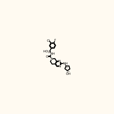 O=C(N[C@H](O)c1ccc(F)c(Cl)c1)N1CCc2cnc(N[C@H]3CC[C@H](O)C3)nc2C1